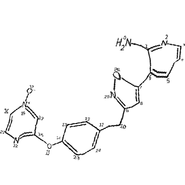 Nc1ncccc1-c1cc(Cc2ccc(Oc3c[n+]([O-])ccn3)cc2)no1